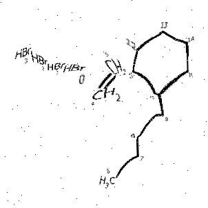 Br.Br.Br.Br.C=C.CCCCC1CCCCC1